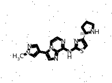 Cn1cc(-c2cnc3c(Nc4nc([C@@H]5CCCN5)cs4)nccn23)cn1